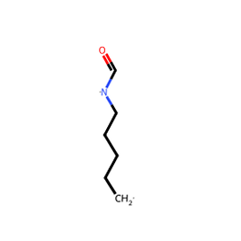 [CH2]CCCC[N]C=O